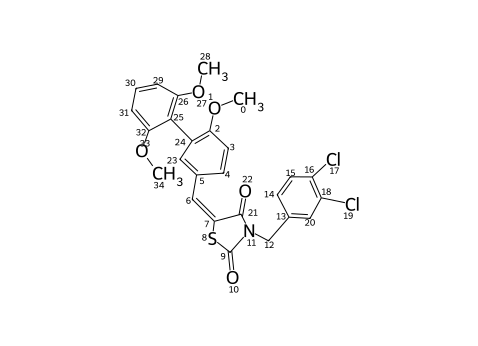 COc1ccc(/C=C2/SC(=O)N(Cc3ccc(Cl)c(Cl)c3)C2=O)cc1-c1c(OC)cccc1OC